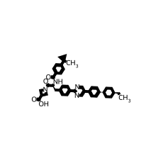 CC[C@H]1CC[C@H](c2ccc(-c3cnc(-c4ccc(C[C@H](NC(=O)c5ccc(C6(C)CC6)cc5)C(=O)N5CC(C(=O)O)C5)cc4)nc3)cc2)CC1